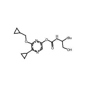 CC(C)(C)C(CO)NC(=O)Oc1cnc(C2CC2)c(OCC2CC2)n1